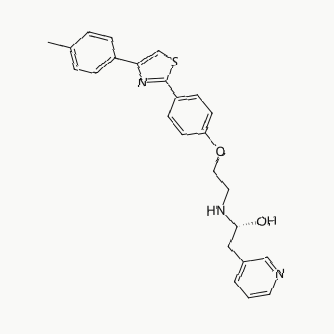 Cc1ccc(-c2csc(-c3ccc(OCCN[C@H](O)Cc4cccnc4)cc3)n2)cc1